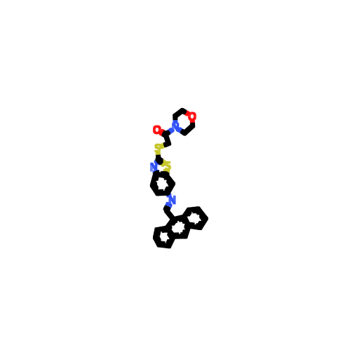 O=C(CSc1nc2ccc(/N=C/c3c4ccccc4cc4ccccc34)cc2s1)N1CCOCC1